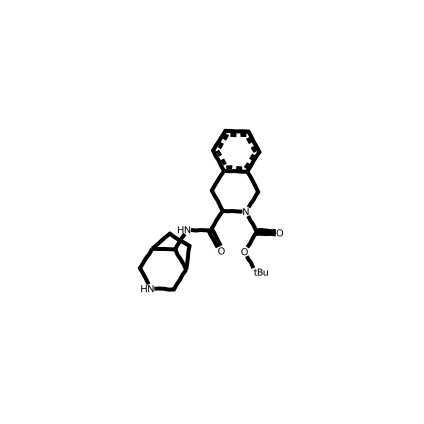 CC(C)(C)OC(=O)N1Cc2ccccc2CC1C(=O)NC1C2CCC1CNC2